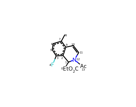 CCOC(=O)C1c2c(F)ccc(C)c2C=CN1C(C)=O